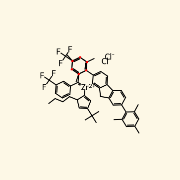 CCCCC1C=C(C(C)(C)C)C=[C]1[Zr+2](=[C](c1cccc(C(F)(F)F)c1)c1cccc(C(F)(F)F)c1)[c]1c(-c2c(C)cc(C)cc2C)ccc2c1Cc1cc(-c3c(C)cc(C)cc3C)ccc1-2.[Cl-].[Cl-]